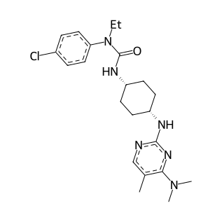 CCN(C(=O)N[C@H]1CC[C@@H](Nc2ncc(C)c(N(C)C)n2)CC1)c1ccc(Cl)cc1